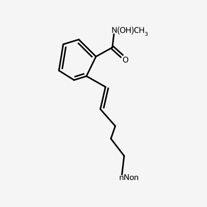 CCCCCCCCCCCCC=Cc1ccccc1C(=O)N(C)O